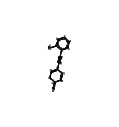 CCc1ccccc1C#CC1=CCC(=S)C=C1